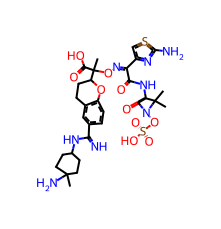 CC1(N)CCC(NC(=N)c2ccc3c(c2)CCC(C(C)(ON=C(C(=O)NC2C(=O)N(OS(=O)(=O)O)C2(C)C)c2csc(N)n2)C(=O)O)O3)CC1